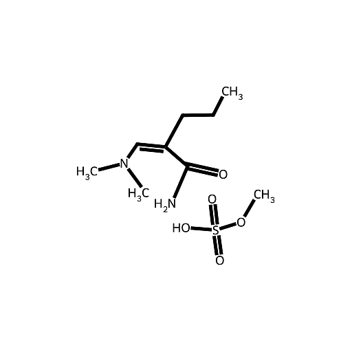 CCCC(=CN(C)C)C(N)=O.COS(=O)(=O)O